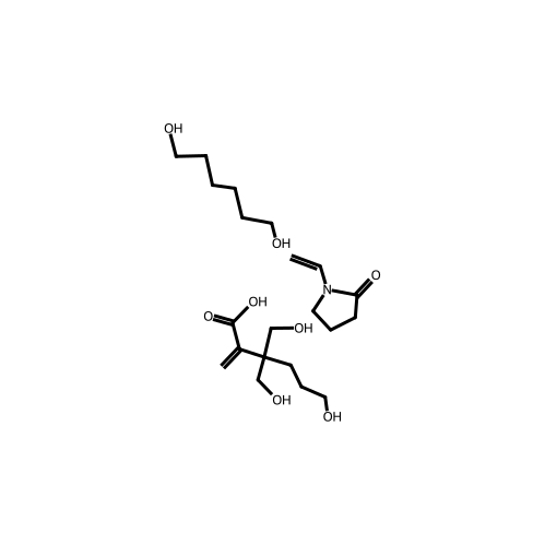 C=C(C(=O)O)C(CO)(CO)CCCO.C=CN1CCCC1=O.OCCCCCCO